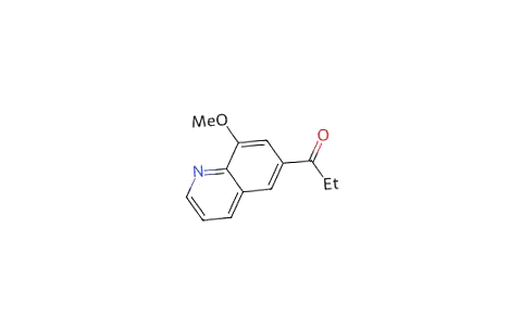 CCC(=O)c1cc(OC)c2ncccc2c1